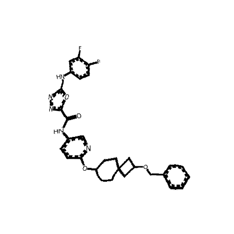 O=C(Nc1ccc(OC2CCC3(CC2)CC(OCc2ccccc2)C3)nc1)c1nnc(Nc2ccc(F)c(F)c2)o1